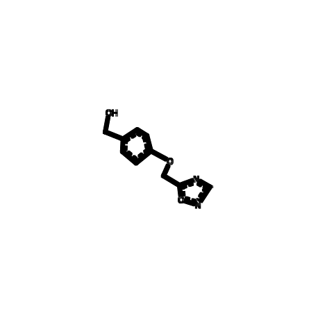 OCc1ccc(OCc2n[c]no2)cc1